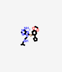 CC(C)CNCCn1c(Sc2cc3c(cc2C2CCCC2)OCCO3)nc2c(N)ncnc21